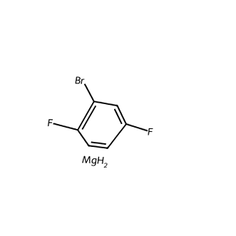 Fc1ccc(F)c(Br)c1.[MgH2]